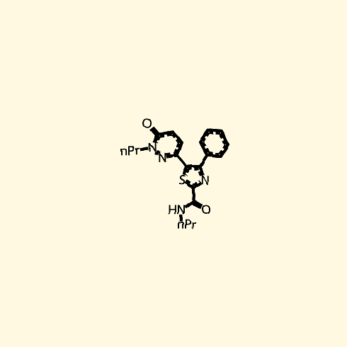 CCCNC(=O)c1nc(-c2ccccc2)c(-c2ccc(=O)n(CCC)n2)s1